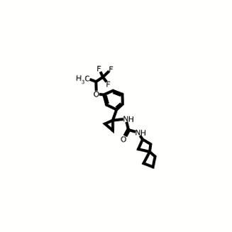 CC(Oc1cccc(C2(NC(=O)NC3CC4(CCC4)C3)CC2)c1)C(F)(F)F